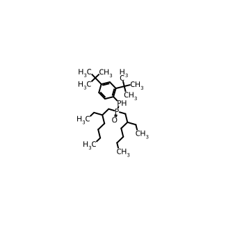 CCCCC(CC)CP(=O)(CC(CC)CCCC)Pc1ccc(C(C)(C)C)cc1C(C)(C)C